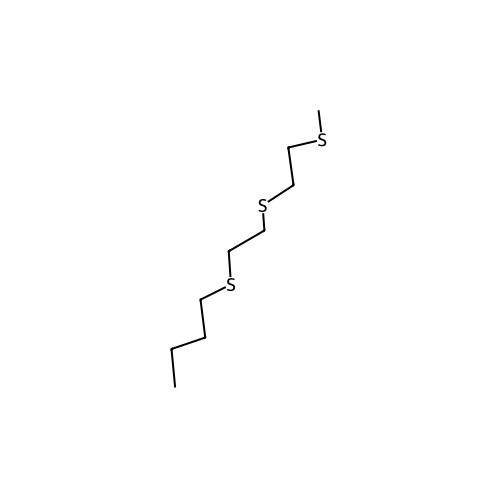 CCCCSCCSCCSC